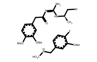 COc1cc(CNC(=O)O)ccc1F.COc1ccc(CC(=O)N=C(N)N[C@H](C)CC(C)C)cc1OC